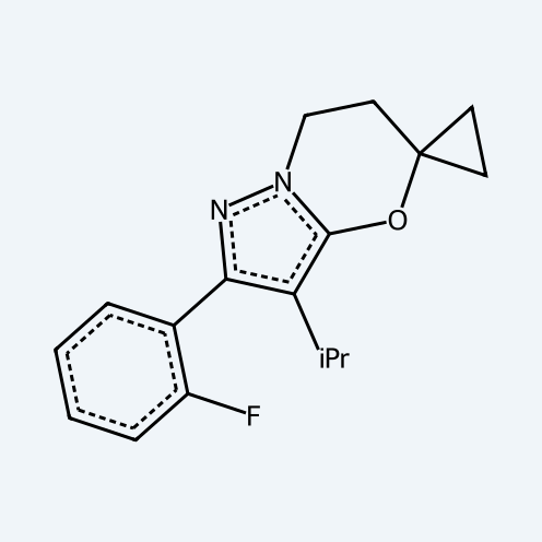 CC(C)c1c(-c2ccccc2F)nn2c1OC1(CC2)CC1